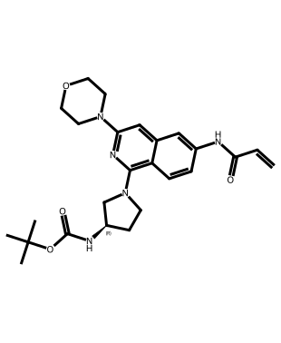 C=CC(=O)Nc1ccc2c(N3CC[C@@H](NC(=O)OC(C)(C)C)C3)nc(N3CCOCC3)cc2c1